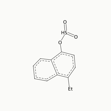 CCc1ccc(O[SH](=O)=O)c2ccccc12